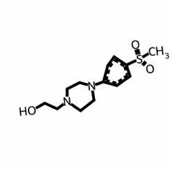 CS(=O)(=O)c1ccc(N2CCN(CCO)CC2)cc1